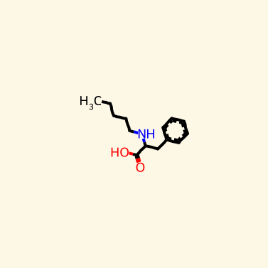 CCCCCNC(Cc1ccccc1)C(=O)O